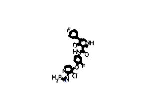 O=C(Nc1ccc(Oc2ccnc(/N=C\P)c2Cl)c(F)c1)c1c[nH]cc(-c2ccc(F)cc2)c1=O